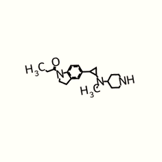 CCC(=O)N1CCc2cc(C3CC3N(C)C3CCNCC3)ccc21